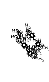 COc1cc(NCc2ccc3nc(N)nc(N)c3c2C)cc(OC)c1OC.Nc1nc(N)c2nc(CNc3ccc(C(=O)NC(CCC(=O)O)C(=O)O)cc3)cnc2n1